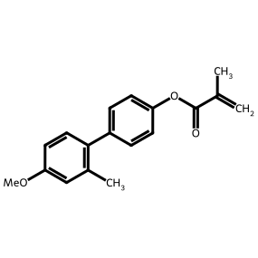 C=C(C)C(=O)Oc1ccc(-c2ccc(OC)cc2C)cc1